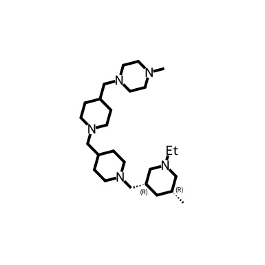 CCN1C[C@H](C)C[C@H](CN2CCC(CN3CCC(CN4CCN(C)CC4)CC3)CC2)C1